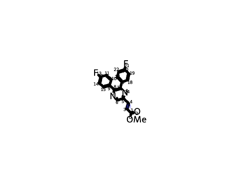 COC(=O)/C=C/c1cnc(-c2ccc(F)cc2)c(-c2ccc(F)cc2)n1